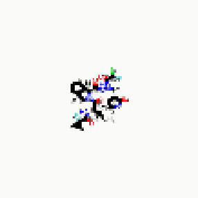 CCC(C)(C)[C@H](NC(=O)C1(F)CC1)C(=O)N1C[C@@H]2CCC[C@@H]2[C@H]1C(=O)NN(C[C@@H]1CCNC1=O)C(=O)[C@H](F)Cl